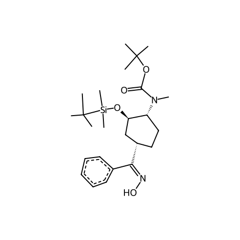 CN(C(=O)OC(C)(C)C)[C@@H]1CC[C@H](/C(=N/O)c2ccccc2)C[C@H]1O[Si](C)(C)C(C)(C)C